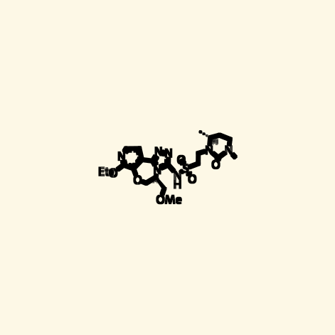 CCOc1nccc2c1OC[C@H](COC)n1c(NS(=O)(=O)CCN3C(=O)N(C)CC[C@H]3C)nnc1-2